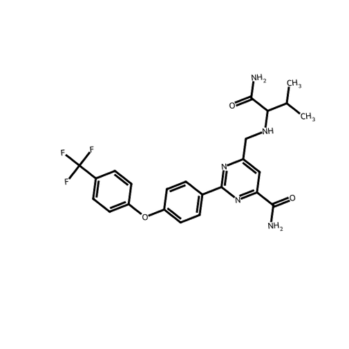 CC(C)C(NCc1cc(C(N)=O)nc(-c2ccc(Oc3ccc(C(F)(F)F)cc3)cc2)n1)C(N)=O